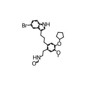 COc1cc(CCNC=O)c(CCCc2c[nH]c3ccc(Br)cc23)cc1OC1CCCC1